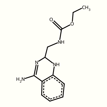 CCOC(=O)NCC1N=C(N)c2ccccc2N1